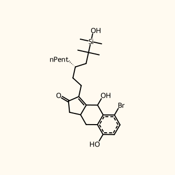 CCCCC[C@@H](CCC1=C2C(CC1=O)Cc1c(O)ccc(Br)c1C2O)CC(C)(C)[Si](C)(C)O